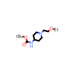 CCOCCN1CCC(NC(=O)OC(C)(C)C)CC1